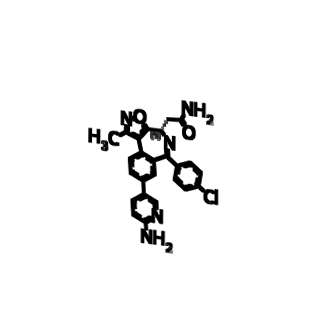 Cc1noc2c1-c1ccc(-c3ccc(N)nc3)cc1C(c1ccc(Cl)cc1)=N[C@H]2CC(N)=O